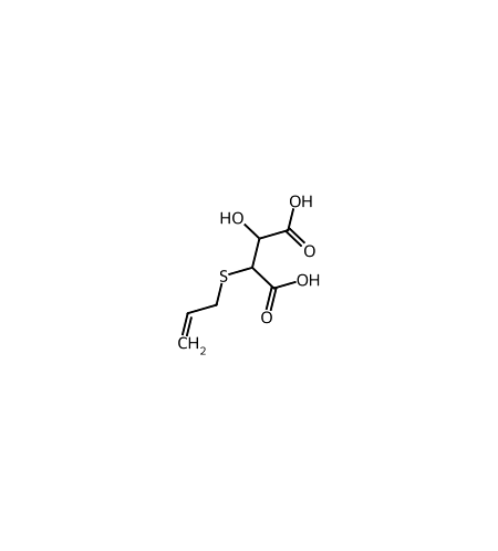 C=CCSC(C(=O)O)C(O)C(=O)O